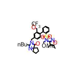 CCCCC1=NC2(CCCC2)C(=O)N1Cc1ccc(-c2ccccc2S(=O)(=O)N(COC)c2noc(C)c2C)c(COC(F)(F)F)c1